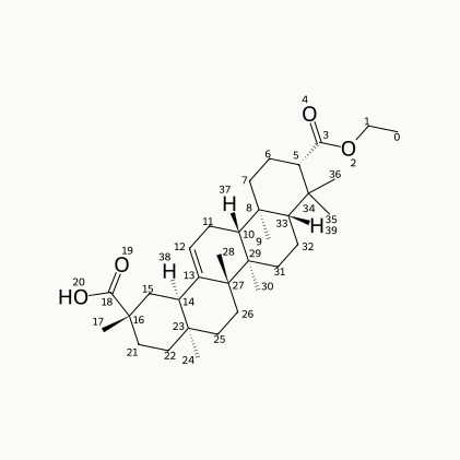 CCOC(=O)[C@H]1CC[C@]2(C)[C@H]3CC=C4[C@@H]5C[C@@](C)(C(=O)O)CC[C@]5(C)CC[C@@]4(C)[C@]3(C)CC[C@H]2C1(C)C